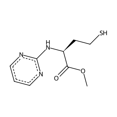 COC(=O)[C@H](CCS)Nc1ncccn1